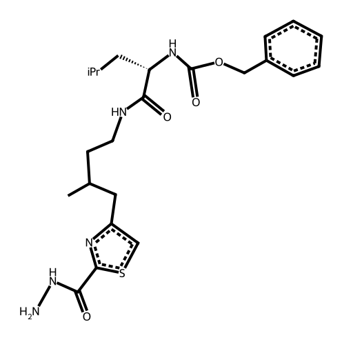 CC(C)C[C@H](NC(=O)OCc1ccccc1)C(=O)NCCC(C)Cc1csc(C(=O)NN)n1